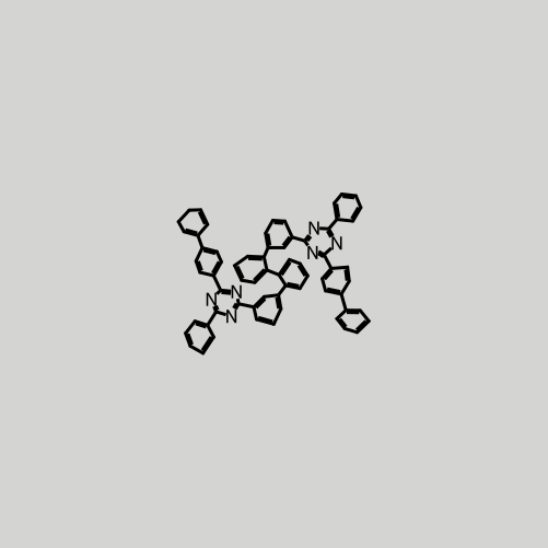 C1=CC(c2ccc(-c3nc(-c4ccccc4)nc(-c4cccc(-c5ccccc5-c5ccccc5-c5cccc(-c6nc(-c7ccccc7)nc(-c7ccc(-c8ccccc8)cc7)n6)c5)c4)n3)cc2)=CCC1